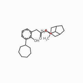 C[N+]1(C)CC2CCC(C1)C2COC(=O)Cc1cccc(C2CCCCCC2)c1O